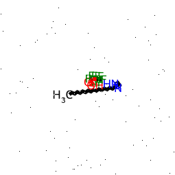 CCCCCCCCCCCCCCCCCc1ncc[nH]1.O=S(=O)(O)C(F)(F)C(F)(F)C(F)(F)C(F)(F)F